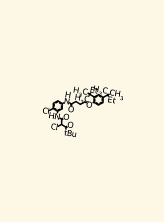 CCC(C)(C)c1ccc(OCCCC(=O)Nc2ccc(Cl)c(NC(=O)C(Cl)C(=O)C(C)(C)C)c2)c(C(C)(C)CC)c1